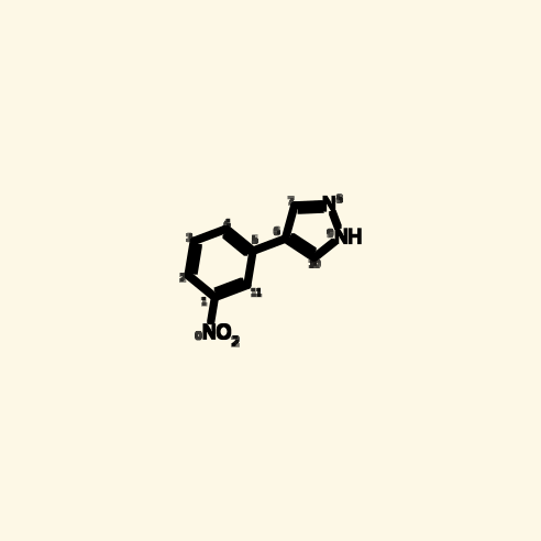 O=[N+]([O-])c1cccc(-c2cn[nH]c2)c1